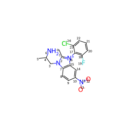 Cc1n(CC(C)N)c2ccc([N+](=O)[O-])cc2[n+]1-c1c(F)cccc1Cl